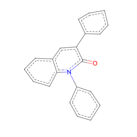 O=c1c(-c2ccccc2)cc2ccccc2n1-c1ccccc1